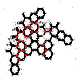 C=C(C(=O)OC(CCCCC)Oc1ccc2c3ccccc3c3c(OC(CCCCC)OC(=O)C(=C)c4ccc5ccccc5c4)c(OC(CCCCC)OC(=O)C(=C)c4ccc5ccccc5c4)c(OC(CCCCC)OC(=O)C(=C)c4ccc5ccccc5c4)c(OC(CCCCC)OC(=O)C(=C)c4ccc5ccccc5c4)c3c2c1OC(CCCCC)OC(=O)C(=C)c1ccc2ccccc2c1)c1ccc2ccccc2c1